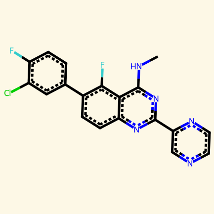 CNc1nc(-c2cnccn2)nc2ccc(-c3ccc(F)c(Cl)c3)c(F)c12